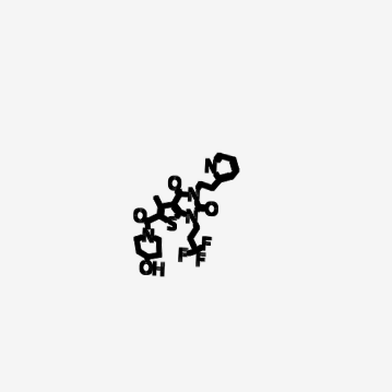 Cc1c(C(=O)N2CCC(O)CC2)sc2c1c(=O)n(CCc1ccccn1)c(=O)n2CCC(F)(F)F